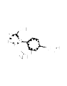 O=C(O)c1ccc(-n2nnnc2S)cc1.[NaH].[NaH]